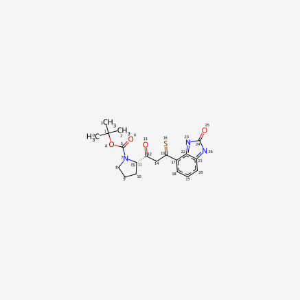 CC(C)(C)OC(=O)N1CCC[C@H]1C(=O)CC(=S)c1cccc2c1=NC(=O)N=2